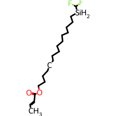 CC=CC(=O)OCCCCCCCCCCCCCCC[SiH2]C(F)F